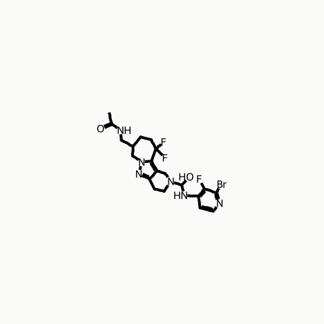 CC(=O)NCC1CCC(F)(F)c2c3c(nn2C1)CCN(C(O)Nc1ccnc(Br)c1F)C3